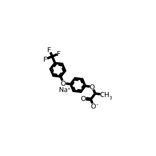 CC(Oc1ccc(Oc2ccc(C(F)(F)F)cc2)cc1)C(=O)[O-].[Na+]